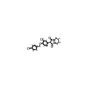 O=C1C(c2cc(Cl)c(OCc3ccc(Cl)cc3)cn2)[N+](=O)N2CCCCN12